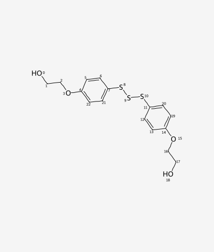 OCCOc1ccc(SSSc2ccc(OCCO)cc2)cc1